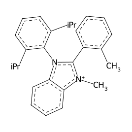 Cc1ccccc1-c1n(-c2c(C(C)C)cccc2C(C)C)c2ccccc2[n+]1C